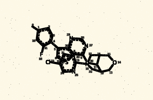 Cc1ccc(-c2csc3c(OC4C5COCC4CN(c4ncc(Cl)cn4)C5)ncnc23)c(F)c1